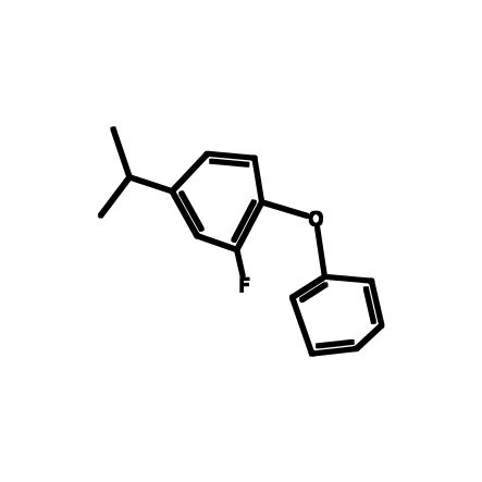 CC(C)c1ccc(Oc2ccccc2)c(F)c1